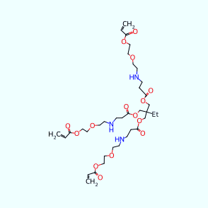 C=CC(=O)OCCOCCNCCC(=O)OCC(CC)(COC(=O)CCNCCOCCOC(=O)C=C)COC(=O)CCNCCOCCOC(=O)C=C